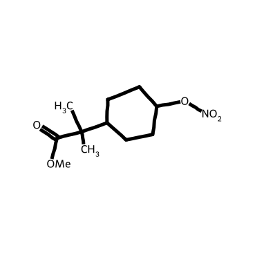 COC(=O)C(C)(C)C1CCC(O[N+](=O)[O-])CC1